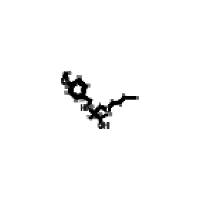 CCCCOC[C@@](C)(NCc1ccc(OC)cc1)[C@@H](C)O